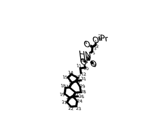 CC(C)OCC(=O)CN[PH](=O)OCCC[C@H]1CCC2C3CCC4CCCCC4(C)C3CCC21C